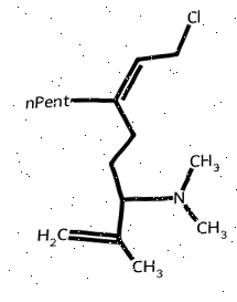 C=C(C)C(CC/C(=C\CCl)CCCCC)N(C)C